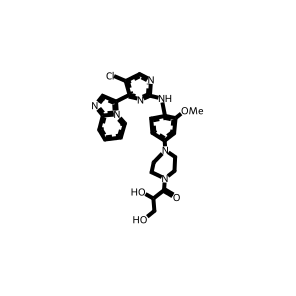 COc1cc(N2CCN(C(=O)C(O)CO)CC2)ccc1Nc1ncc(Cl)c(-c2cnc3ccccn23)n1